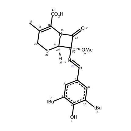 CO[C@@]1(/N=C/c2cc(C(C)(C)C)c(O)c(C(C)(C)C)c2)C(=O)N2C(C(=O)O)=C(C)CS[C@@H]21